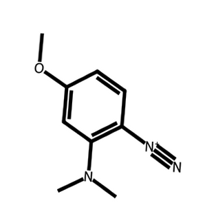 COc1ccc([N+]#N)c(N(C)C)c1